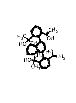 C=C(O)c1cccc(C(C)(C)O)c1-c1ccc(-c2c(C(=C)O)cccc2C(C)(C)O)c2ccccc12